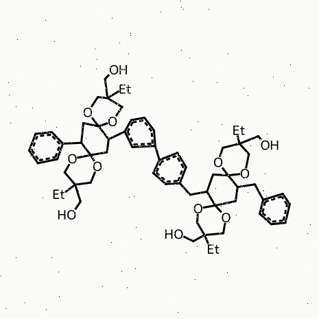 CCC1(CO)COC2(CC(Cc3ccc(-c4cccc(C5CC6(OCC(CC)(CO)CO6)C(c6ccccc6)CC56OCC(CC)(CO)CO6)c4)cc3)C3(CC2Cc2ccccc2)OCC(CC)(CO)CO3)OC1